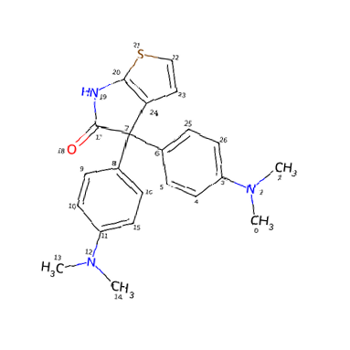 CN(C)c1ccc(C2(c3ccc(N(C)C)cc3)C(=O)Nc3sccc32)cc1